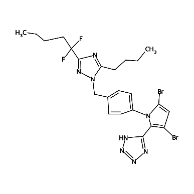 CCCCc1nc(C(F)(F)CCCC)nn1Cc1ccc(-n2c(Br)cc(Br)c2-c2nnn[nH]2)cc1